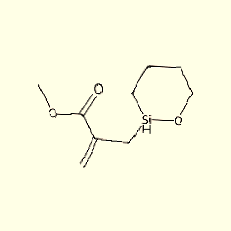 C=C(C[SiH]1CCCCO1)C(=O)OC